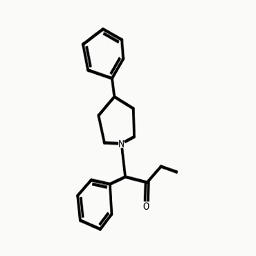 CCC(=O)C(c1ccccc1)N1CCC(c2ccccc2)CC1